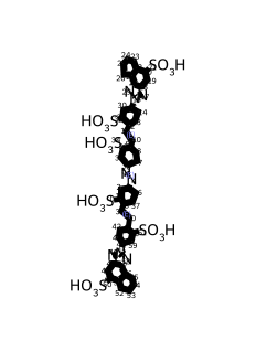 O=S(=O)(O)c1cc(/N=N/c2ccc(/C=C/c3ccc(-n4nc5cc(S(=O)(=O)O)c6ccccc6c5n4)cc3S(=O)(=O)O)c(S(=O)(=O)O)c2)ccc1/C=C/c1ccc(-n2nc3cc(S(=O)(=O)O)c4ccccc4c3n2)cc1S(=O)(=O)O